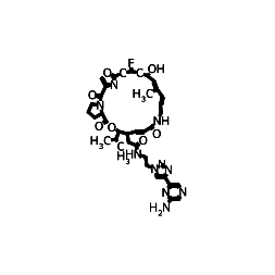 CC1=C\C(O)CC(F)Cc2nc(co2)C(=O)N2CCCC2C(=O)OC(C(C)C)C(CC(=O)NCCn2cc(-c3cncc(N)n3)nn2)/C=C/C(=O)NC\C=C\1